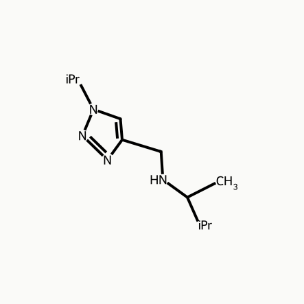 CC(C)C(C)NCc1cn(C(C)C)nn1